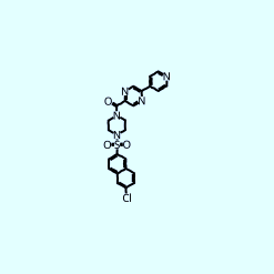 O=C(c1cnc(-c2ccncc2)cn1)N1CCN(S(=O)(=O)c2ccc3cc(Cl)ccc3c2)CC1